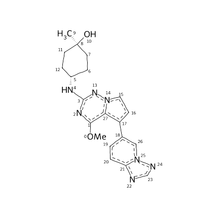 COc1nc(N[C@H]2CC[C@](C)(O)CC2)nn2ccc(-c3ccc4ncnn4c3)c12